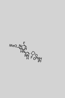 COCc1cn2c(Nc3cc([C@@H]4CC[C@H](OC(=O)NC(C)C)[C@H]4F)[nH]n3)ncc(F)c2n1